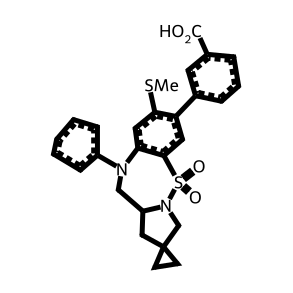 CSc1cc2c(cc1-c1cccc(C(=O)O)c1)S(=O)(=O)N1CC3(CC3)CC1CN2c1ccccc1